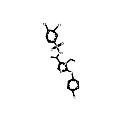 CCn1c(C(C)NS(=O)(=O)c2ccc(Cl)c(Cl)c2)cnc1Oc1ccc(Cl)cc1